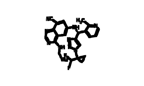 Cc1ncccc1[C@@H](Nc1cc(C#N)c2ncnc(NCC(C)(C)C)c2c1)c1cn(C2(C(F)F)CC2)nn1